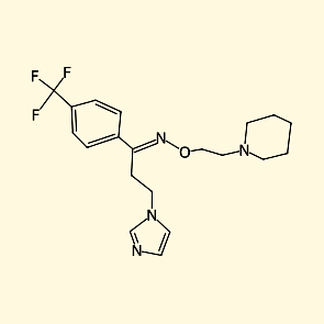 FC(F)(F)c1ccc(C(CCn2ccnc2)=NOCCN2CCCCC2)cc1